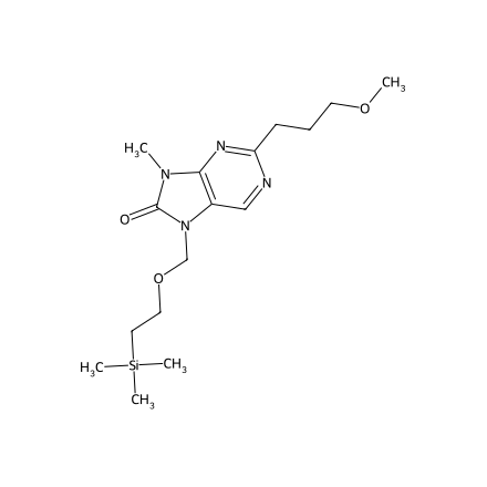 COCCCc1ncc2c(n1)n(C)c(=O)n2COCC[Si](C)(C)C